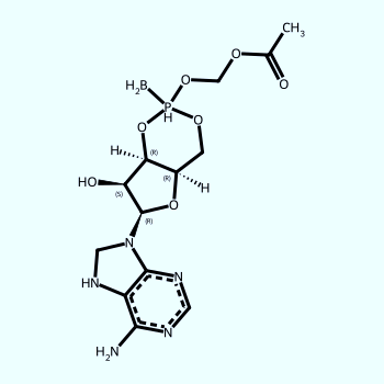 B[PH]1(OCOC(C)=O)OC[C@H]2O[C@@H](N3CNc4c(N)ncnc43)[C@@H](O)[C@H]2O1